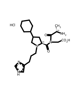 C[C@H](N)C(=O)N(CC(=O)O)C(=O)[C@@H]1CC(C2CCCCC2)CN1CCCc1c[nH]cn1.Cl